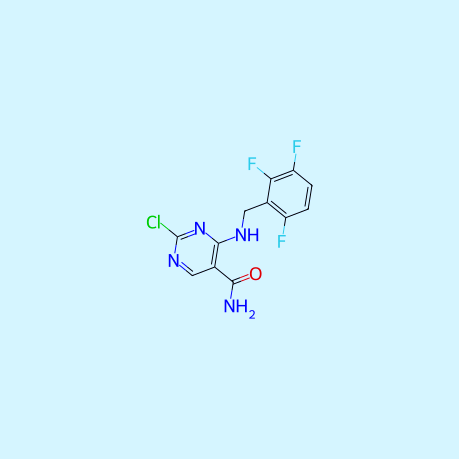 NC(=O)c1cnc(Cl)nc1NCc1c(F)ccc(F)c1F